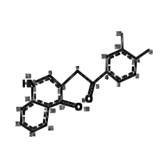 Cc1ccc(C(=O)Cc2c[nH]c3ccccc3c2=O)cc1C